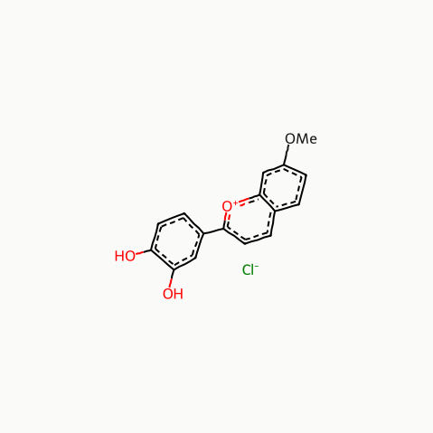 COc1ccc2ccc(-c3ccc(O)c(O)c3)[o+]c2c1.[Cl-]